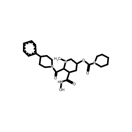 CN1CC(OC(=O)N2CCCCC2)CC(C(=O)NO)C1C(=O)N1CCC(c2ccccc2)CC1